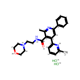 Cc1nc(-c2ccccc2)cc(-c2cccc(C#N)n2)c1C(=O)NCCN1CCOCC1.Cl.Cl